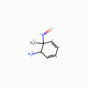 CC1(N=O)C=CC=CC1N